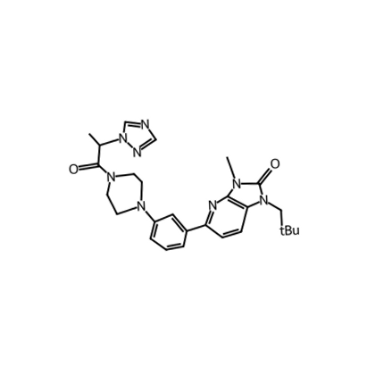 CC(C(=O)N1CCN(c2cccc(-c3ccc4c(n3)n(C)c(=O)n4CC(C)(C)C)c2)CC1)n1cncn1